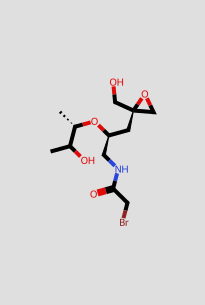 CC(O)[C@H](C)O[C@H](CNC(=O)CBr)C[C@]1(CO)CO1